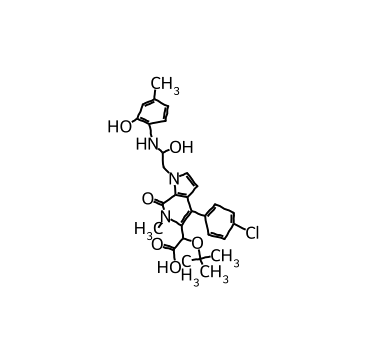 Cc1ccc(NC(O)Cn2ccc3c(-c4ccc(Cl)cc4)c(C(OC(C)(C)C)C(=O)O)n(C)c(=O)c32)c(O)c1